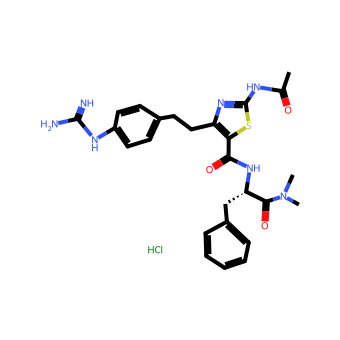 CC(=O)Nc1nc(CCc2ccc(NC(=N)N)cc2)c(C(=O)N[C@@H](Cc2ccccc2)C(=O)N(C)C)s1.Cl